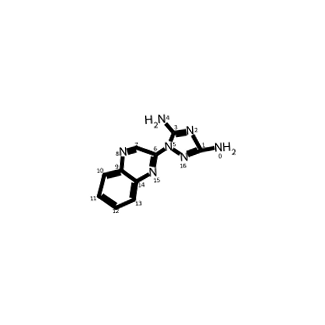 Nc1nc(N)n(-c2cnc3ccccc3n2)n1